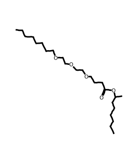 CCCCCCCCOCCOCCOCCCC(=O)OC(C)CCCCCC